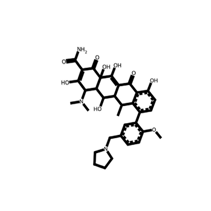 COc1ccc(CN2CCCC2)cc1-c1ccc(O)c2c1C(C)C1C(=C(O)C3(O)C(=O)C(C(N)=O)=C(O)C(N(C)C)C3C1O)C2=O